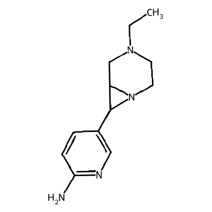 CCN1CCN2C(C1)C2c1ccc(N)nc1